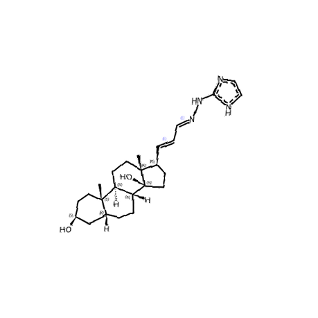 C[C@]12CC[C@H](O)C[C@H]1CC[C@@H]1[C@@H]2CC[C@]2(C)[C@@H](/C=C/C=N/Nc3ncc[nH]3)CC[C@]12O